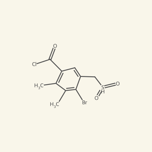 Cc1c(C(=O)Cl)cc(C[SH](=O)=O)c(Br)c1C